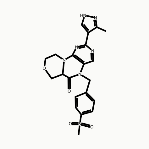 Cc1n[nH]cc1-c1ncc2c(n1)N1CCOCC1C(=O)N2Cc1ccc(S(C)(=O)=O)cc1